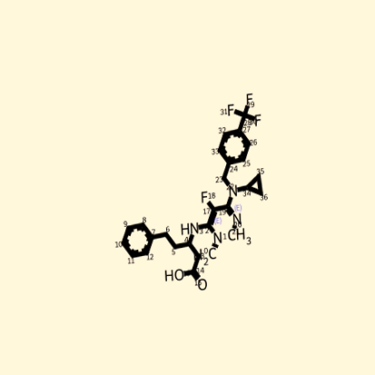 C=N/C(NC(CCc1ccccc1)CC(=O)O)=C(F)\C(=N/C)N(Cc1ccc(C(F)(F)F)cc1)C1CC1